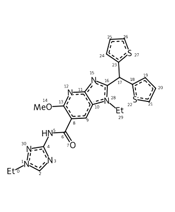 CCn1cnc(NC(=O)c2cc3c(nc2OC)nc(C(c2cccs2)c2cccs2)n3CC)n1